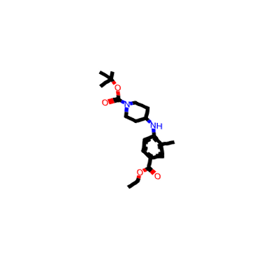 CCOC(=O)c1ccc(NC2CCN(C(=O)OC(C)(C)C)CC2)c(C)c1